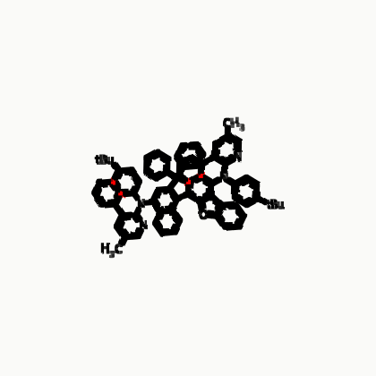 Cc1cnc(N(c2ccc(C(C)(C)C)cc2)c2cc3c(c4oc5ccccc5c24)-c2c(cc(N(c4ccc(C(C)(C)C)cc4)c4ncc(C)cc4-c4ccccc4)c4ccccc24)C3(c2ccccc2)c2ccccc2)c(C2=CC=CCC2)c1